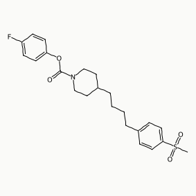 CS(=O)(=O)c1ccc(CCCCC2CCN(C(=O)Oc3ccc(F)cc3)CC2)cc1